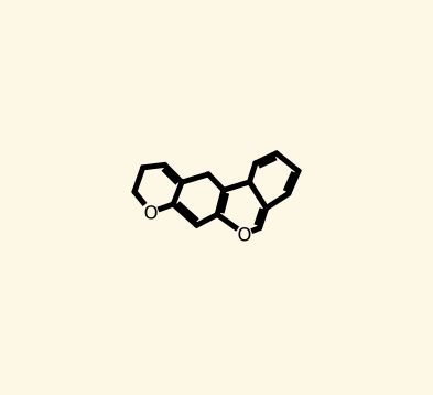 C1=CC2=COC3=C(CC4=CCCOC4=C3)C2C=C1